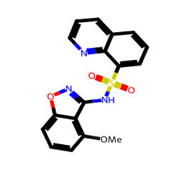 COc1cccc2onc(NS(=O)(=O)c3cccc4cccnc34)c12